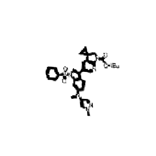 CN(c1ccc2c(-c3cnc4c(c3)C3(CC3)CN4C(=O)OC(C)(C)C)cn(S(=O)(=O)c3ccccc3)c2c1)c1cnn(C)c1